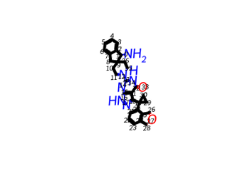 N[C@@H]1c2ccccc2CC12CCN(c1nc3[nH]nc(C4(c5cccc6c5COC6)CC4)c3c(=O)[nH]1)CC2